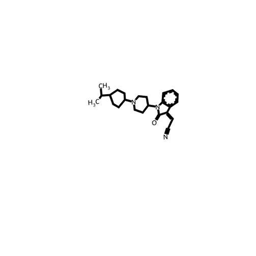 CC(C)C1CCC(N2CCC(N3C(=O)C(=CC#N)c4ccccc43)CC2)CC1